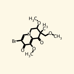 COCC1(C)C(=O)c2c(OC)c(=O)c(Br)cn2CC1OC